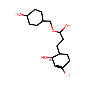 OC1=C[C@@H](O)C(CCC(O)OCC2CCC(O)CC2)CC1